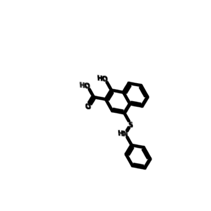 O=C(O)c1cc(SNc2ccccc2)c2ccccc2c1O